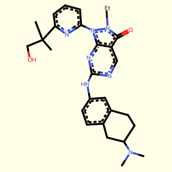 CCn1c(=O)c2cnc(Nc3ccc4c(c3)CCC(N(C)C)C4)nc2n1-c1cccc(C(C)(C)CO)n1